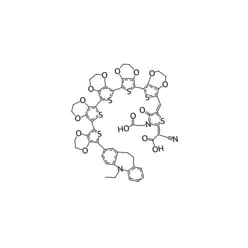 CCN1c2ccccc2CCc2cc(-c3sc(-c4sc(-c5sc(-c6sc(-c7sc(/C=c8/s/c(=C(\C#N)C(=O)O)n(CC(=O)O)c8=O)c8c7OCCO8)c7c6OCCO7)c6c5OCCO6)c5c4OCCO5)c4c3OCCO4)ccc21